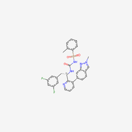 Cc1ccccc1S(=O)(=O)NC(=O)N[C@@H](Cc1cc(F)cc(F)c1)c1ncccc1-c1ccc2cn(C)nc2c1